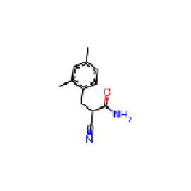 Cc1ccc(CC(C#N)C(N)=O)c(C)c1